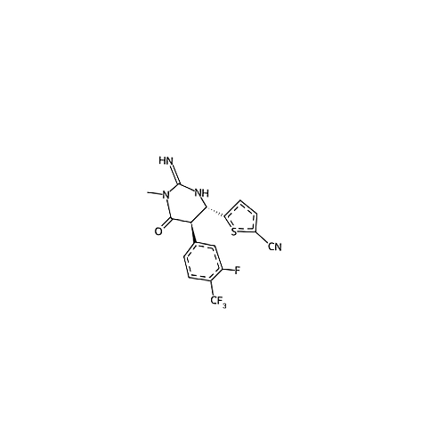 CN1C(=N)N[C@H](c2ccc(C#N)s2)[C@@H](c2ccc(C(F)(F)F)c(F)c2)C1=O